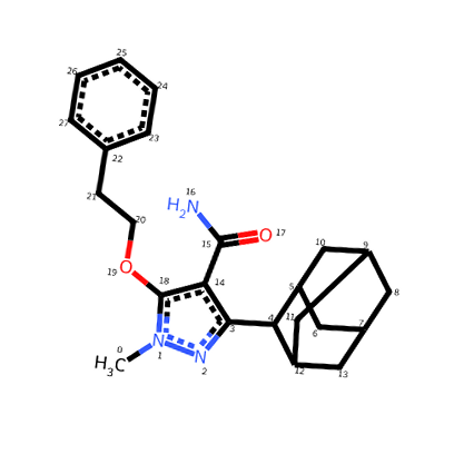 Cn1nc(C2C3CC4CC(C3)CC2C4)c(C(N)=O)c1OCCc1ccccc1